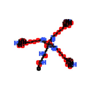 CC(=O)N[C@H]1[C@H]2OC[C@](COCCOCCOCCOCCn3cc(COCC(COCc4cn(CCOCCOCCOCCOC[C@@]56CO[C@@H](O5)[C@H](NC(C)=O)[C@H]5OC(C)(C)O[C@H]56)nn4)(COCc4cn(CCOCCOCCOCCOC[C@@]56CO[C@@H](O5)[C@H](NC(C)=O)[C@H]5OC(C)(C)O[C@H]56)nn4)NC(=O)CCCCCNC(=O)CCCCCNC(=O)OCc4ccccc4)nn3)(O2)[C@@H]2OC(C)(C)O[C@H]12